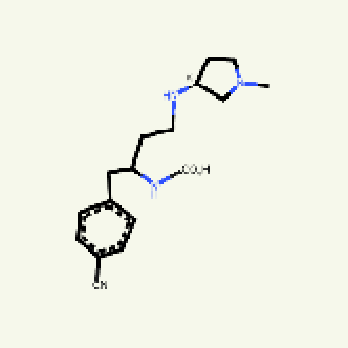 CN1CC[C@H](NCCC(Cc2ccc(C#N)cc2)NC(=O)O)C1